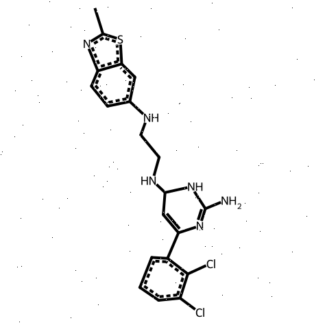 Cc1nc2ccc(NCCNC3C=C(c4cccc(Cl)c4Cl)N=C(N)N3)cc2s1